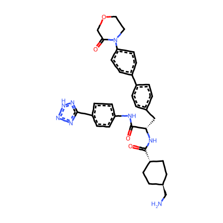 NC[C@H]1CC[C@H](C(=O)N[C@@H](Cc2ccc(-c3ccc(N4CCOCC4=O)cc3)cc2)C(=O)Nc2ccc(-c3nn[nH]n3)cc2)CC1